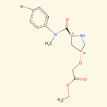 CCOC(=O)CO[C@H]1CN[C@H](C(=O)N(C)c2ccc(Br)cc2)C1